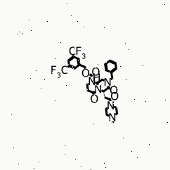 CN1CCN(C(=O)C[C@H]2C(=O)N(Cc3ccccc3)C[C@@H]3N(C(=O)OCc4cc(C(F)(F)F)cc(C(F)(F)F)c4)CCC(=O)N32)CC1